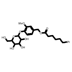 COc1cc(COC(=O)CCCCCC(C)C)ccc1OC1OC(CO)C(O)C(O)C1O